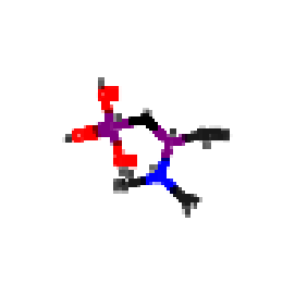 COP(CP(=O)(O)O)N(C(C)C)C(C)C